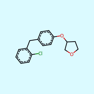 Clc1ccccc1Cc1ccc(OC2CCOC2)cc1